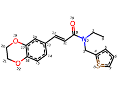 CCN(Cc1cccs1)C(=O)/C=C/c1ccc2c(c1)OCCO2